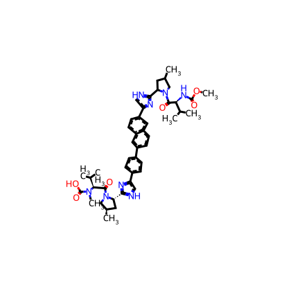 COC(=O)N[C@H](C(=O)N1CC(C)CC1c1nc(-c2ccc3cc(-c4ccc(-c5c[nH]c([C@@H]6C[C@@H](C)CN6C(=O)[C@H](C(C)C)N(C)C(=O)O)n5)cc4)ccc3c2)c[nH]1)C(C)C